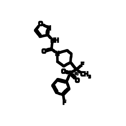 C[C@](F)(C1CCN(C(=O)Nc2ccon2)CC1)S(=O)(=O)c1cccc(F)c1